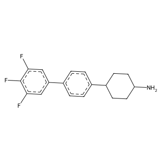 NC1CCC(c2ccc(-c3cc(F)c(F)c(F)c3)cc2)CC1